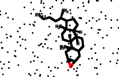 CC(C)CCC[C@@H](C)[C@H]1CC[C@H]2[C@@H]3CCC4CC5OC5C[C@]4(C)[C@H]3CC[C@]12C